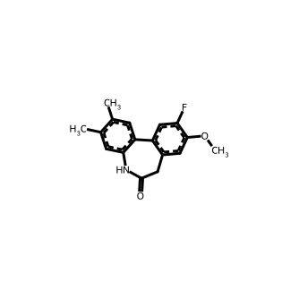 COc1cc2c(cc1F)-c1cc(C)c(C)cc1NC(=O)C2